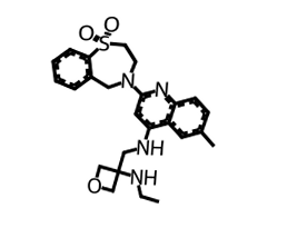 CCNC1(CNc2cc(N3CCS(=O)(=O)c4ccccc4C3)nc3ccc(C)cc23)COC1